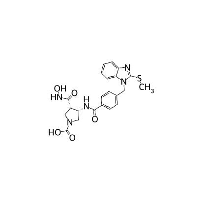 CSc1nc2ccccc2n1Cc1ccc(C(=O)N[C@@H]2CN(C(=O)O)C[C@@H]2C(=O)NO)cc1